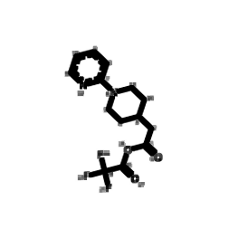 O=C(CC1CCN(c2ccccn2)CC1)OC(=O)C(F)(F)F